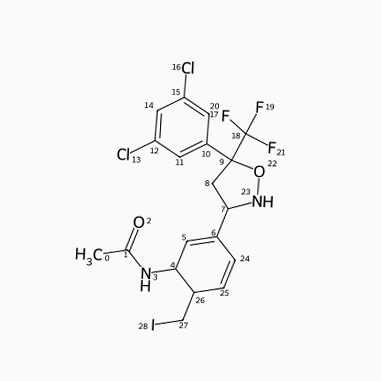 CC(=O)NC1C=C(C2CC(c3cc(Cl)cc(Cl)c3)(C(F)(F)F)ON2)C=CC1CI